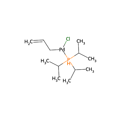 C=C[CH2][Pd]([Cl])[PH](C(C)C)(C(C)C)C(C)C